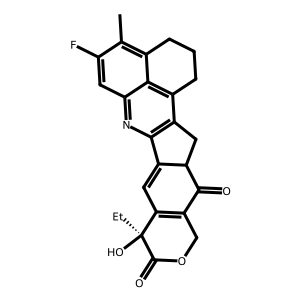 CC[C@@]1(O)C(=O)OCC2=C1C=C1c3nc4cc(F)c(C)c5c4c(c3CC1C2=O)CCC5